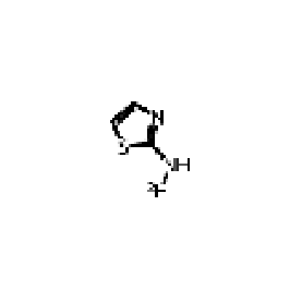 [2H]Nc1nccs1